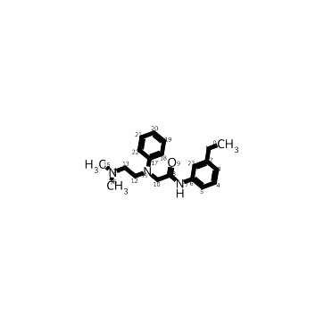 CCc1cccc(NC(=O)CN(CCN(C)C)c2ccccc2)c1